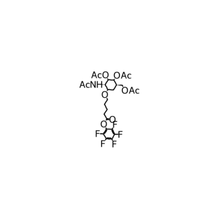 CC(=O)N[C@@H]1[C@@H](OC(C)=O)[C@@H](OC(C)=O)[C@@H](COC(C)=O)C[C@H]1OCCCCC(=O)Oc1c(F)c(F)c(F)c(F)c1F